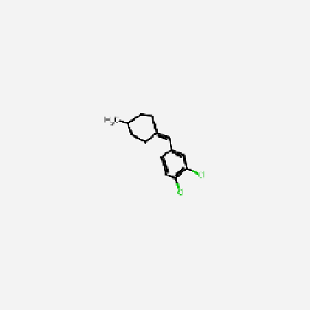 CC1CCC(=Cc2ccc(Cl)c(Cl)c2)CC1